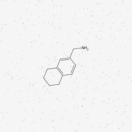 NCc1ccc2c(c1)CCCC2